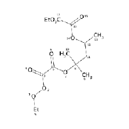 CCOOC(=O)C(=O)OC(C)(C)CC(C)OC(=O)C(=O)OCC